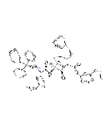 CC(OC(=O)OC1CCCC1)OC(=O)C1=C(/C=C\c2cccnc2)CS[C@@H]2[C@H](NC(=O)/C(=N/OC(c3ccccc3)(c3ccccc3)c3ccccc3)c3csc(N)n3)C(=O)N12